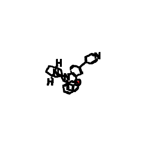 c1ccc(CCN2[C@@H]3CC[C@H]2C[C@@H](N2c4ccccc4Oc4cc(-c5ccncc5)ccc42)C3)cc1